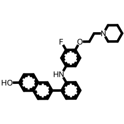 Oc1ccc2cc(-c3ccccc3Nc3ccc(OCCN4CCCCC4)c(F)c3)ccc2c1